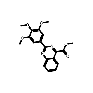 COC(=O)c1nc(-c2cc(OC)c(OC)c(OC)c2)nc2ccccc12